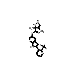 CC1=CNNC1(C)C(=O)Nc1cnc2[nH]c(-c3cccnc3C(F)(F)F)cc2c1